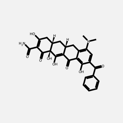 CN(C)c1cc(C(=O)c2ccccc2)c(O)c2c1C[C@H]1C[C@H]3CC(O)=C(C(N)=O)C(=O)[C@@]3(O)C(O)=C1C2=O